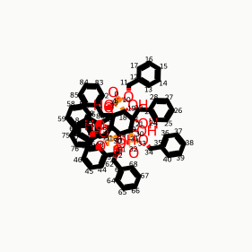 O=P(OCc1ccccc1)(OCc1ccccc1)[C@]1(O)[C@](O)(Cc2ccccc2)[C@](O)(P(=O)(OCc2ccccc2)OCc2ccccc2)[C@@](O)(P(=O)(OCc2ccccc2)OCc2ccccc2)[C@](O)(Cc2ccccc2)[C@@]1(O)Cc1ccccc1